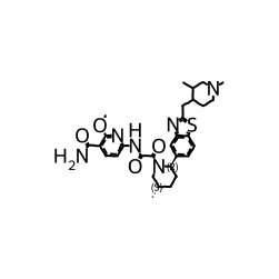 COc1nc(NC(=O)C(=O)N2C[C@@H](C)CC[C@@H]2c2ccc3sc(CC4CCN(C)CC4C)nc3c2)ccc1C(N)=O